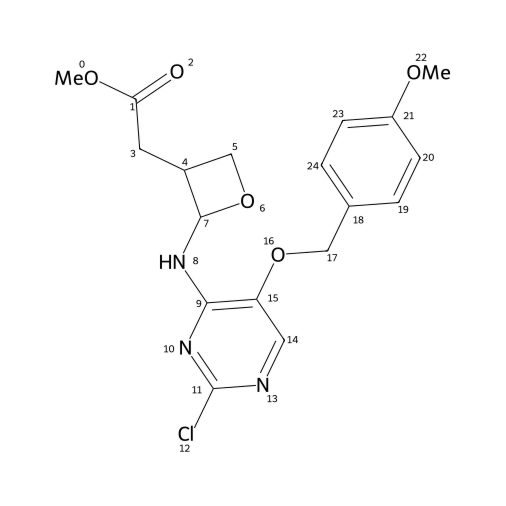 COC(=O)CC1COC1Nc1nc(Cl)ncc1OCc1ccc(OC)cc1